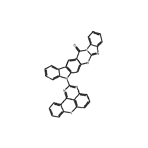 O=c1c2cc3c4ccccc4n(-c4nc5c6c(cccc6n4)Sc4ccccc4-5)c3cc2sc2nc3ccccc3n12